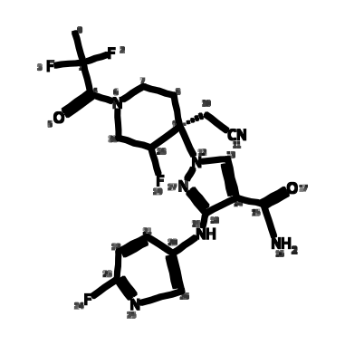 CC(F)(F)C(=O)N1CC[C@@](CC#N)(n2cc(C(N)=O)c(Nc3ccc(F)nc3)n2)C(F)C1